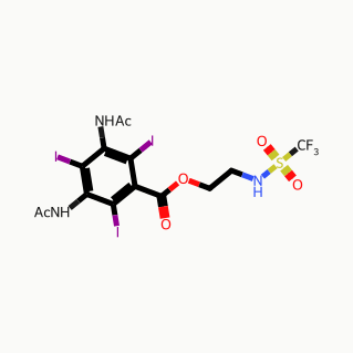 CC(=O)Nc1c(I)c(NC(C)=O)c(I)c(C(=O)OCCNS(=O)(=O)C(F)(F)F)c1I